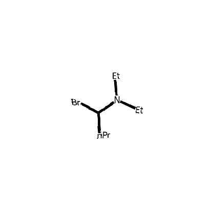 CCCC(Br)N(CC)CC